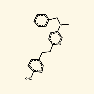 CN(Cc1ccccc1)c1ccc(CCc2ccc(C=O)cc2)nn1